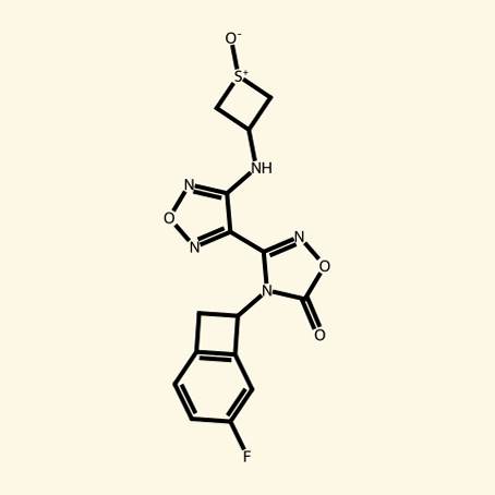 O=c1onc(-c2nonc2NC2C[S+]([O-])C2)n1C1Cc2ccc(F)cc21